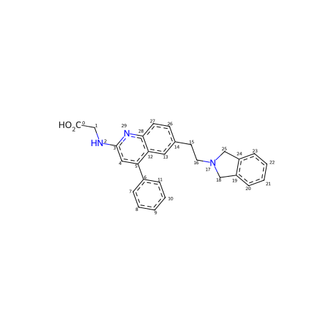 O=C(O)CNc1cc(-c2ccccc2)c2cc(CCN3Cc4ccccc4C3)ccc2n1